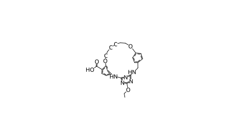 CCOc1nc2nc(n1)Nc1ccc(C(=O)O)c(c1)OCCCCCCOc1ccc(cc1)CN2